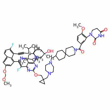 COCOc1cc(-c2ncc3c(N4CCC[C@@](C)(O)C4)nc(OCC4(CN5CCN(CC6CCC7(CC6)CCN(C(=O)c6ccc(OC)c(N8CCC(=O)NC8=O)c6)CC7)CC5)CC4)nc3c2F)c2c(C#C[Si](C(C)C)(C(C)C)C(C)C)c(F)ccc2c1